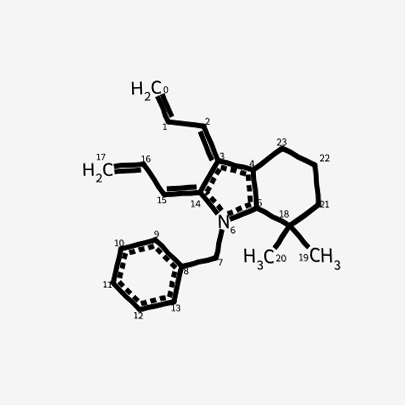 C=C/C=c1/c2c(n(Cc3ccccc3)/c1=C/C=C)C(C)(C)CCC2